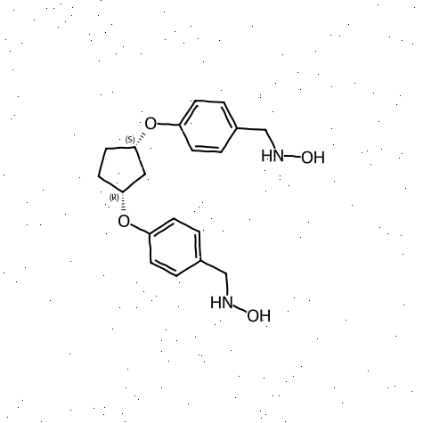 ONCc1ccc(O[C@@H]2CC[C@H](Oc3ccc(CNO)cc3)C2)cc1